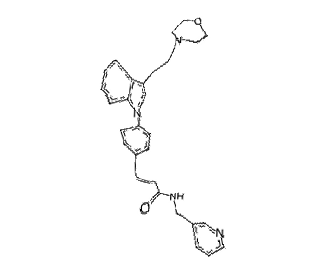 O=C(/C=C/c1ccc(-n2cc(CCN3CCOCC3)c3ccccc32)cc1)NCc1cccnc1